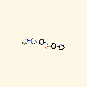 CC(C)N1CCN(c2ccc(NC(=O)c3ccc(-c4ccccn4)cc3)cc2)CC1